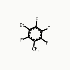 CCc1c(F)c(F)c(F)c(C(F)(F)F)c1F